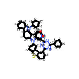 c1ccc(-c2nc(-c3ccccc3)nc(-c3cccc4sc5ccc(-n6c7cnccc7c7c6ccc6c8ccccc8n(-c8ccccc8)c67)cc5c34)n2)cc1